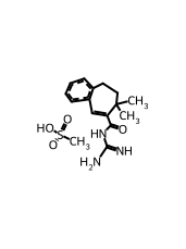 CC1(C)CCc2ccccc2C=C1C(=O)NC(=N)N.CS(=O)(=O)O